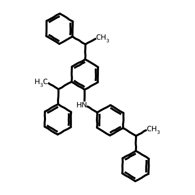 CC(c1ccccc1)c1ccc(Nc2ccc(C(C)c3ccccc3)cc2C(C)c2ccccc2)cc1